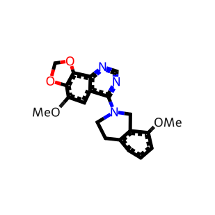 COc1cccc2c1CN(c1ncnc3c4c(c(OC)cc13)OCO4)CC2